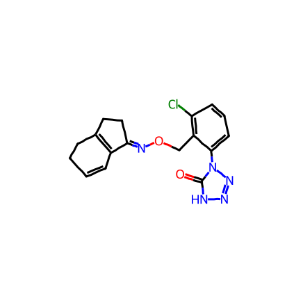 O=c1[nH]nnn1-c1cccc(Cl)c1CO/N=C1\CCC2=C1C=CCC2